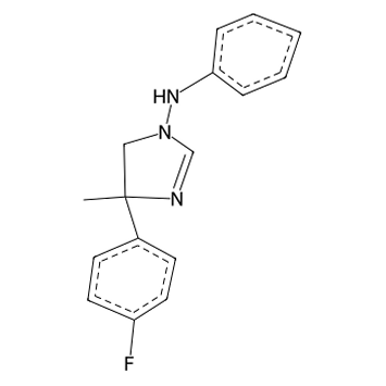 CC1(c2ccc(F)cc2)CN(Nc2ccccc2)C=N1